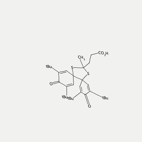 CC1(CCC(=O)O)SC2(C=C(C(C)(C)C)C(=O)C(C(C)(C)C)=C2)C2(C=C(C(C)(C)C)C(=O)C(C(C)(C)C)=C2)S1